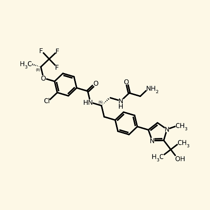 C[C@@H](Oc1ccc(C(=O)N[C@H](CNC(=O)CN)Cc2ccc(-c3cn(C)c(C(C)(C)O)n3)cc2)cc1Cl)C(F)(F)F